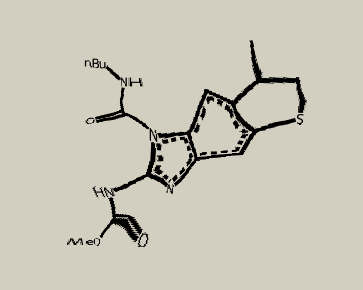 CCCCNC(=O)n1c(NC(=O)OC)nc2cc3c(cc21)C(C)CS3